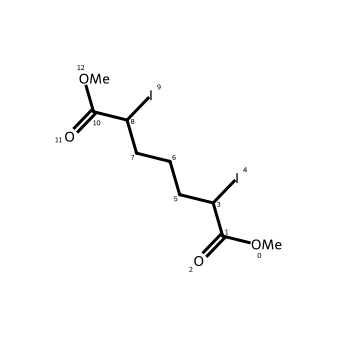 COC(=O)C(I)CCCC(I)C(=O)OC